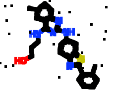 Cc1ccc2nc(Nc3ccc4nc(-c5ccccc5C)sc4c3)nc(NCCCO)c2c1